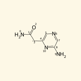 NC(=O)[CH]c1cncc(N)n1